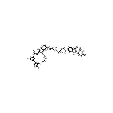 Cc1cc2cc(n1)-c1cnn(C)c1OCCC[C@@H](C)CN1/C(=N/C2=O)Nc2ccc(CNCCNCC3CCN(c4ccc5c(c4)CN(C4CCC(=O)NC4=O)C5=O)CC3)cc21